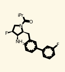 CC(C)C(=O)N1C[C@H](F)[C@H](N)[C@@H]1Cc1cccc(-c2cccc(F)c2)c1